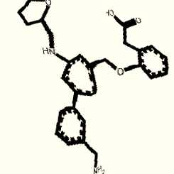 NCc1cccc(-c2cc(COc3ccccc3CC(=O)O)cc(NCC3CCCO3)c2)c1